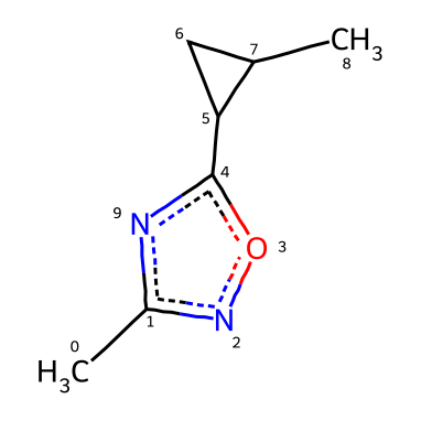 Cc1noc(C2CC2C)n1